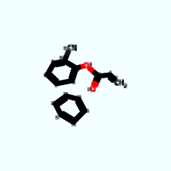 C=CC(=O)Oc1ccccc1C#N.[c]1ccccc1